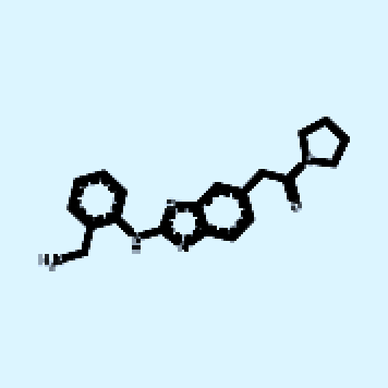 NCc1ccccc1Nc1nc2ccc(CC(=O)N3C[CH]CC3)cc2o1